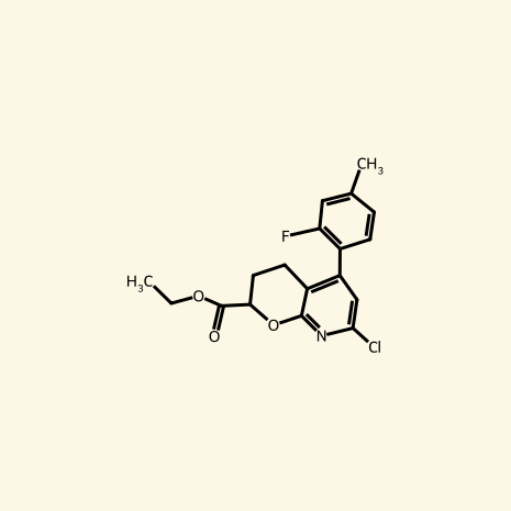 CCOC(=O)C1CCc2c(-c3ccc(C)cc3F)cc(Cl)nc2O1